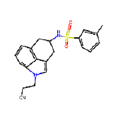 Cc1cccc(S(=O)(=O)NC2Cc3cccc4c3c(cn4CCC#N)C2)c1